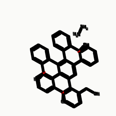 NN.OCc1ccccc1-c1cc(-c2ccccc2)c(-c2ccccc2CO)c(-c2ccccc2CO)c1-c1ccccc1CO